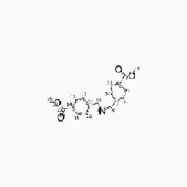 COC(=O)c1ccc(/C=N\Cc2ccc(C(=O)OC)cc2)cc1